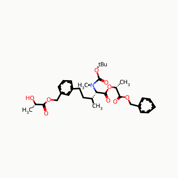 CC(CCc1cccc(COC(=O)[C@H](C)O)c1)[C@@H](C(=O)O[C@H](C)C(=O)OCc1ccccc1)N(C)C(=O)OC(C)(C)C